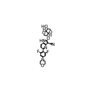 N#Cc1c(O[C@@H]2CO[C@H]3[C@@H]2OC[C@H]3O)[nH]c2ccc(-c3c(F)cc(N4CCOCC4)cc3F)nc12